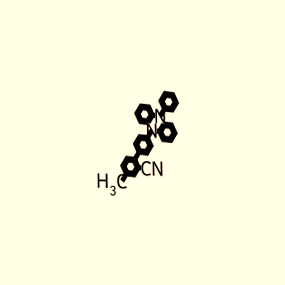 Cc1ccc(-c2ccc(N3c4ccccc4N(c4ccccc4)c4ccccc43)cc2)c(C#N)c1